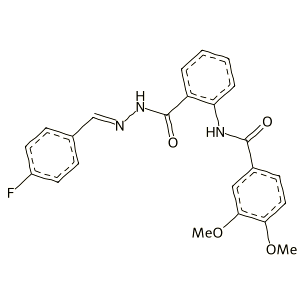 COc1ccc(C(=O)Nc2ccccc2C(=O)NN=Cc2ccc(F)cc2)cc1OC